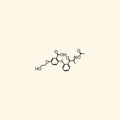 CC(=O)O/N=C(\C)C(=O)c1ccccc1Sc1ccc(OCCO)cc1C(=O)O